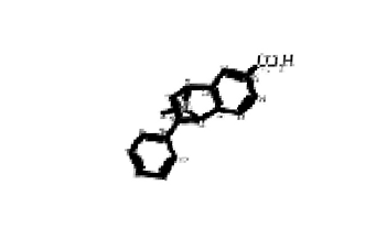 CN1C2C=C(c3ccccc3)C1c1ccc(C(=O)O)cc12